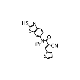 CC(C)N(C(=O)C(C#N)=Cc1cccs1)c1ccc2nc(S)sc2c1